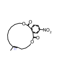 C/C1=C\CCCOC(=O)c2cc([N+](=O)[O-])ccc2C(=O)OCCCCCCC1